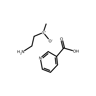 C[S+]([O-])CCN.O=C(O)c1cccnc1